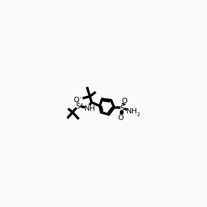 CC(C)(C)C(N[S+]([O-])C(C)(C)C)c1ccc(S(N)(=O)=O)cc1